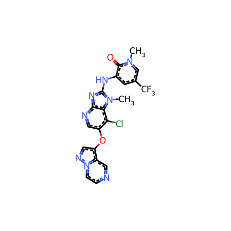 Cn1cc(C(F)(F)F)cc(Nc2nc3ncc(Oc4cnn5ccncc45)c(Cl)c3n2C)c1=O